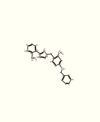 Cc1cc(OCc2ccccc2)ccc1Cn1cnc(-c2cccnc2N)n1